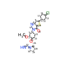 COc1cc(-n2cnc3cc(-c4ccc(Cl)cc4)sc3c2=O)ccc1OC[C@@H]1CCCN1C=N